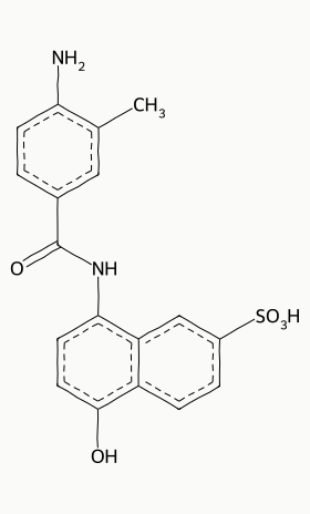 Cc1cc(C(=O)Nc2ccc(O)c3ccc(S(=O)(=O)O)cc23)ccc1N